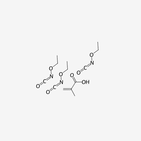 C=C(C)C(=O)O.CCON=C=O.CCON=C=O.CCON=C=O